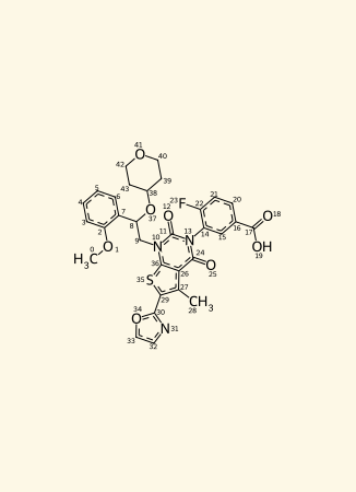 COc1ccccc1C(Cn1c(=O)n(-c2cc(C(=O)O)ccc2F)c(=O)c2c(C)c(-c3ncco3)sc21)OC1CCOCC1